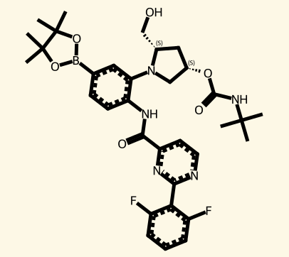 CC(C)(C)NC(=O)O[C@H]1C[C@@H](CO)N(c2cc(B3OC(C)(C)C(C)(C)O3)ccc2NC(=O)c2ccnc(-c3c(F)cccc3F)n2)C1